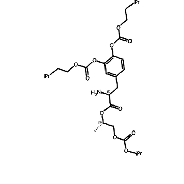 CC(C)CCOC(=O)Oc1ccc(C[C@H](N)C(=O)O[C@@H](C)COC(=O)OC(C)C)cc1OC(=O)OCCC(C)C